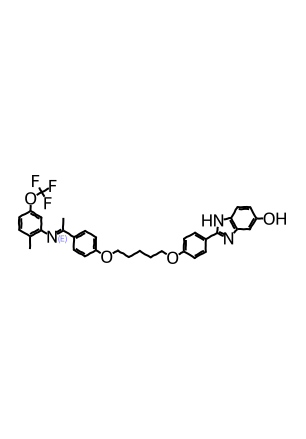 C/C(=N\c1cc(OC(F)(F)F)ccc1C)c1ccc(OCCCCCOc2ccc(-c3nc4cc(O)ccc4[nH]3)cc2)cc1